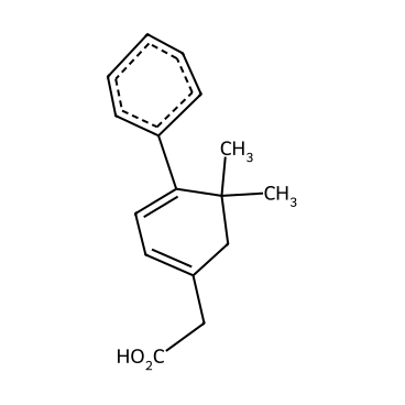 CC1(C)CC(CC(=O)O)=CC=C1c1ccccc1